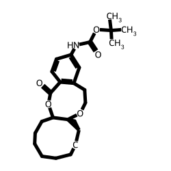 CC(C)(C)OC(=O)Nc1ccc2c(c1)CCOC13CC1CCCCCCCC3OC2=O